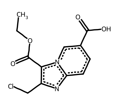 CCOC(=O)c1c(CCl)nc2ccc(C(=O)O)cn12